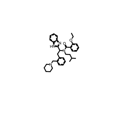 CCOc1ccccc1C(=O)N(CCC(C)C)C(Cc1ccccc1CN1CCCCC1)c1nc2ccccc2[nH]1